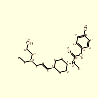 CCN(CC=C[C@H]1CC[C@H](N(C)C(=O)Oc2ccc(Cl)cc2)CC1)CCO